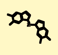 Cc1cc2c(cc1C)[CH]([Zr][CH]1C=Cc3cc(C)c(C)cc31)C=C2